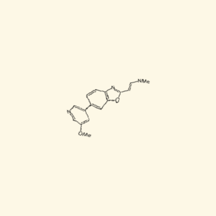 CN/C=C/c1nc2ccc(-c3cncc(OC)c3)cc2o1